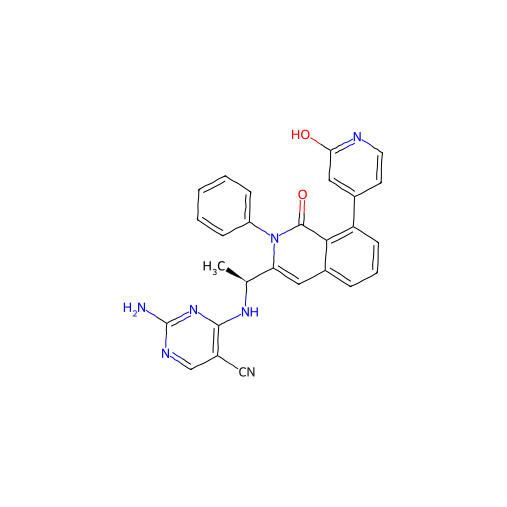 C[C@H](Nc1nc(N)ncc1C#N)c1cc2cccc(-c3ccnc(O)c3)c2c(=O)n1-c1ccccc1